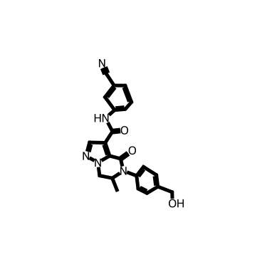 CC1Cn2ncc(C(=O)Nc3cccc(C#N)c3)c2C(=O)N1c1ccc(CO)cc1